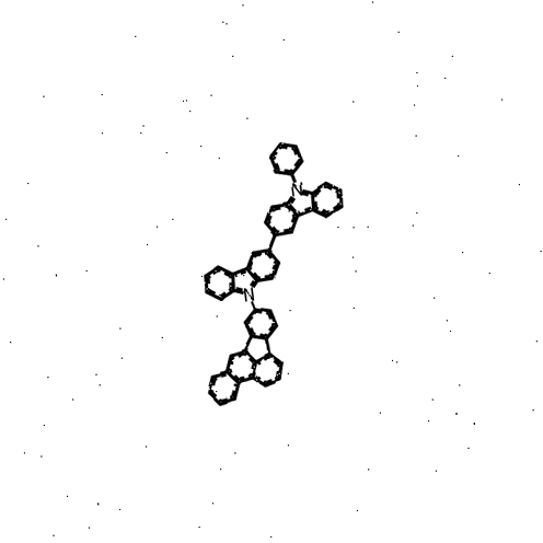 c1ccc(-n2c3ccccc3c3cc(-c4ccc5c(c4)c4ccccc4n5-c4ccc5c(c4)-c4cc6ccccc6c6cccc-5c46)ccc32)cc1